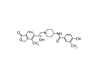 Cc1cc(C(=O)NC2CCN(C[C@H](O)c3ccc4c(c3C)COC4=O)CC2)ccc1C#N